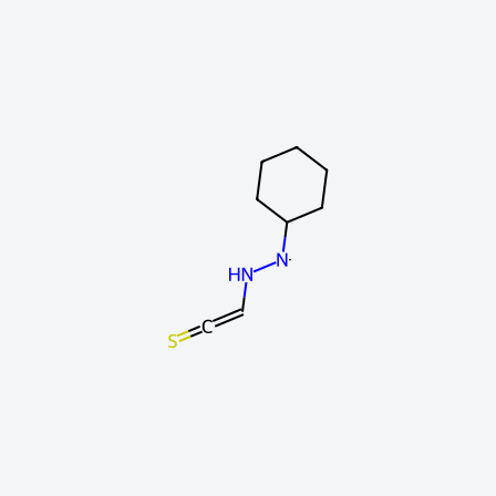 S=C=CN[N]C1CCCCC1